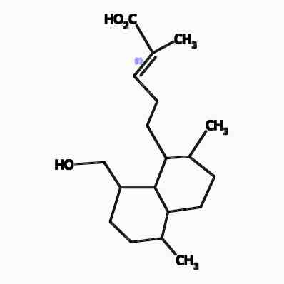 C/C(=C\CCC1C(C)CCC2C(C)CCC(CO)C12)C(=O)O